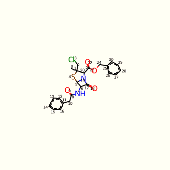 CC1(CCl)SC2C(NC(=O)Cc3ccccc3)C(=O)N2C1C(=O)OCc1ccccc1